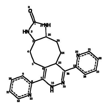 O=C1NC2CCC3=C(c4ccccn4)NN=C(c4ccccn4)C3CCC2N1